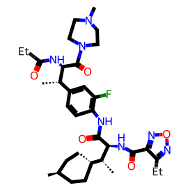 CCC(=O)N[C@@H](C(=O)N1CCN(C)CC1)[C@@H](C)c1ccc(NC(=O)[C@@H](NC(=O)c2nonc2CC)[C@H](C)[C@H]2CC[C@H](C)CC2)c(F)c1